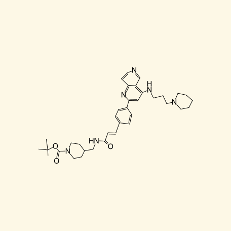 CC(C)(C)OC(=O)N1CCC(CNC(=O)C=Cc2ccc(-c3cc(NCCCN4CCCCC4)c4cnccc4n3)cc2)CC1